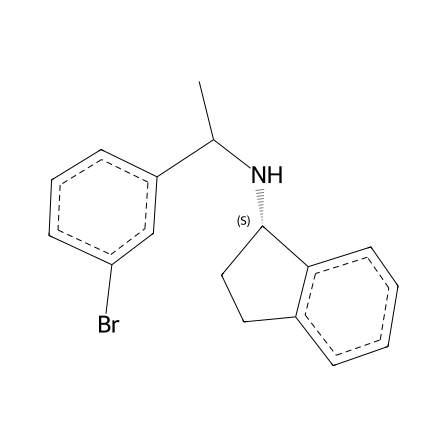 CC(N[C@H]1CCc2ccccc21)c1cccc(Br)c1